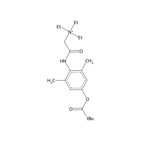 CC[N+](CC)(CC)CC(=O)Nc1c(C)cc(OC(=O)C(C)(C)C)cc1C